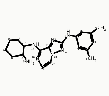 Cc1cc(C)cc(Nc2nc3c(NC4CCCCC4N)nccn3n2)c1